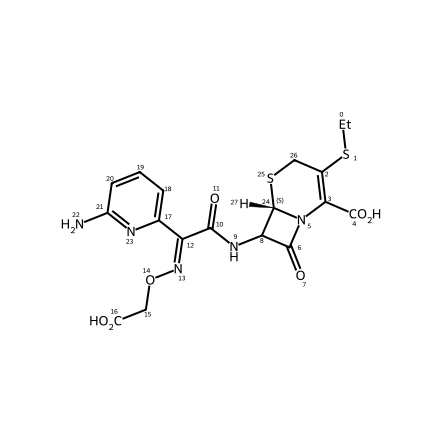 CCSC1=C(C(=O)O)N2C(=O)C(NC(=O)C(=NOCC(=O)O)c3cccc(N)n3)[C@@H]2SC1